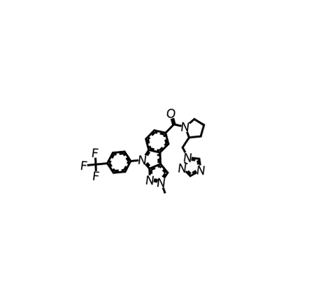 Cn1cc2c3cc(C(=O)N4CCCC4Cn4cncn4)ccc3n(-c3ccc(C(F)(F)F)cc3)c2n1